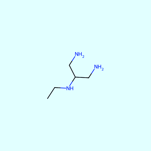 CCNC(CN)CN